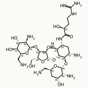 N=C(N)NCC[C@H](O)C(=O)N[C@@H]1C[C@H](N)[C@@H](O[C@H]2O[C@H](CN)C[C@@H](O)[C@H]2N)[C@H](O[C@@H]2O[C@H](CO)[C@@H](O[C@H]3O[C@@H](CN)[C@@H](O)[C@H](O)[C@H]3N)[C@H]2O)[C@H]1O